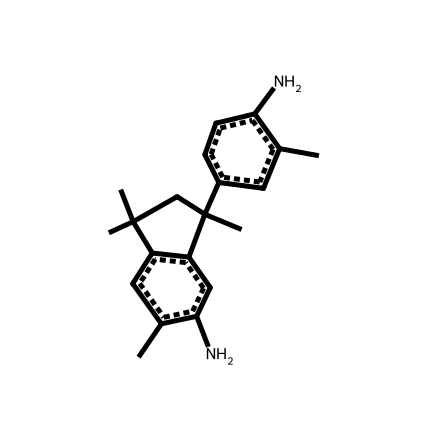 Cc1cc(C2(C)CC(C)(C)c3cc(C)c(N)cc32)ccc1N